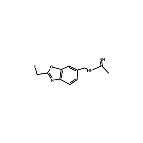 CC(=N)NCc1ccc2nc(CF)oc2c1